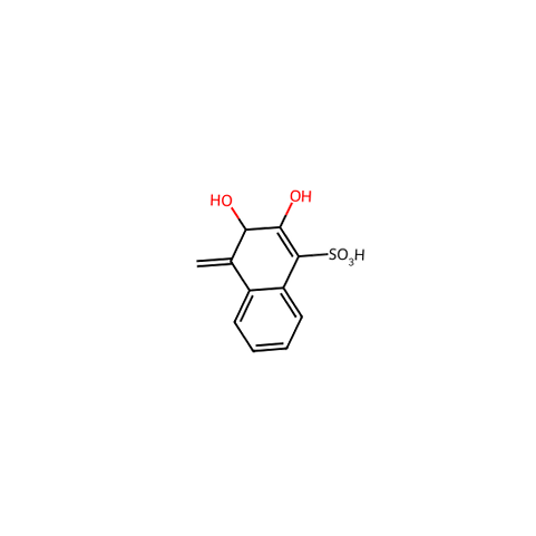 C=C1c2ccccc2C(S(=O)(=O)O)=C(O)C1O